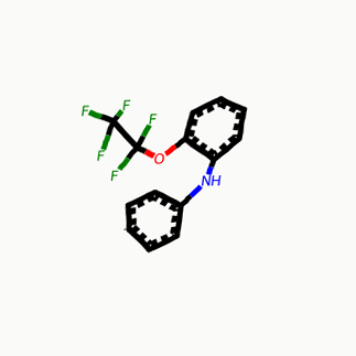 FC(F)(F)C(F)(F)Oc1ccccc1Nc1cc[c]cc1